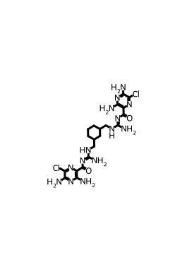 N/C(=N\C(=O)c1nc(Cl)c(N)nc1N)NCC1CCCC(CN/C(N)=N/C(=O)c2nc(Cl)c(N)nc2N)C1